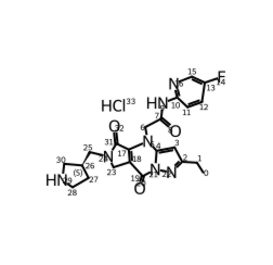 CCc1cc2n(CC(=O)Nc3ccc(F)cn3)c3c(c(=O)n2n1)CN(C[C@H]1CCNC1)C3=O.Cl